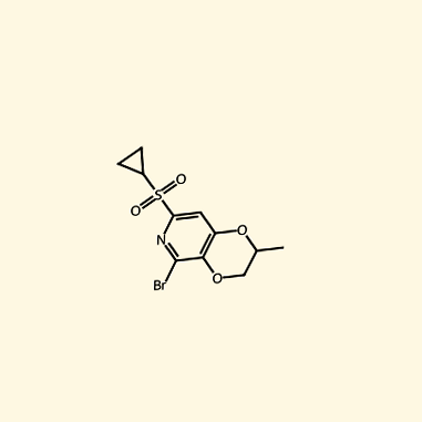 CC1COc2c(cc(S(=O)(=O)C3CC3)nc2Br)O1